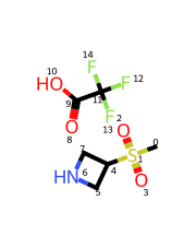 CS(=O)(=O)C1CNC1.O=C(O)C(F)(F)F